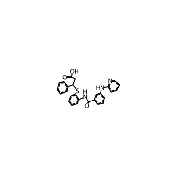 O=C(O)CC(Sc1ccccc1NC(=O)c1cccc(Nc2ccccn2)c1)c1ccccc1